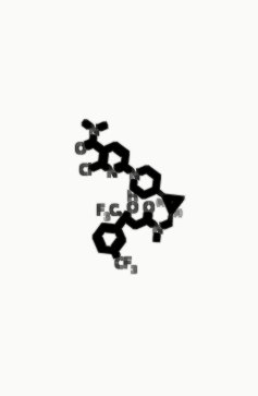 CN(C)C(=O)c1ccc(N2CCC([C@H]3C[C@H]3CN(C)C(=O)C[C@](O)(c3cccc(C(F)(F)F)c3)C(F)(F)F)CC2)nc1Cl